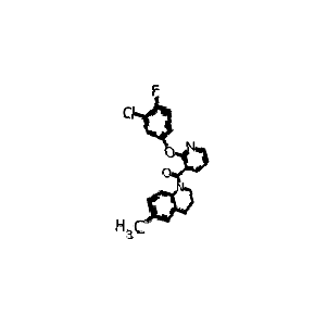 Cc1ccc2c(c1)CCCN2C(=O)c1cccnc1Oc1ccc(F)c(Cl)c1